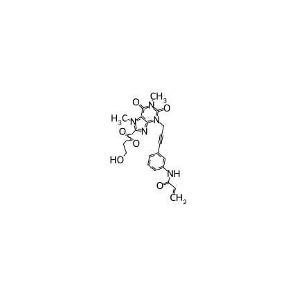 C=CC(=O)Nc1cccc(C#CCn2c(=O)n(C)c(=O)c3c2nc(S(=O)(=O)CCO)n3C)c1